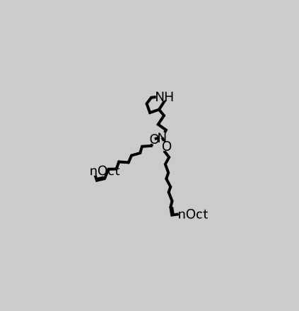 CCCCCCCC/C=C\CCCCCCCCON(CCCC1CCCNC1)OCCCCCCCC/C=C\CCCCCCCC